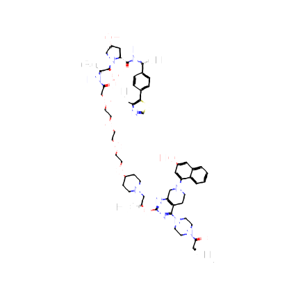 C=CC(=O)N1CCN(c2nc(O[C@H](C)CN3CCC(OCCOCCOCCOCC(=O)N[C@H](C(=O)N4C[C@H](O)C[C@H]4C(=O)N[C@@H](C)c4ccc(-c5scnc5C)cc4)C(C)(C)C)CC3)nc3c2CCN(c2cc(O)cc4ccccc24)C3)CC1